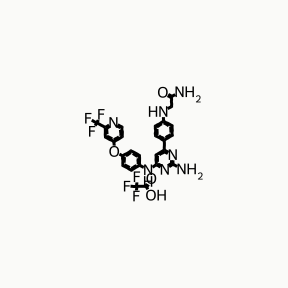 NC(=O)CNc1ccc(-c2cc(Nc3ccc(Oc4ccnc(C(F)(F)F)c4)cc3)nc(N)n2)cc1.O=C(O)C(F)(F)F